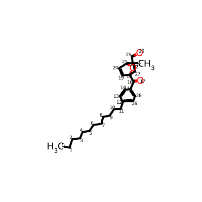 CCCCCCCCCCCCc1ccc(C(=O)C23C=CC(O2)C(C)(C=O)C3)cc1